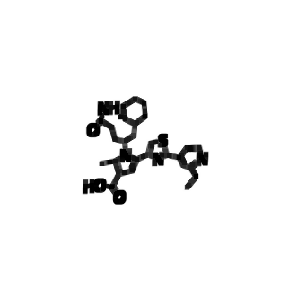 CCc1cc(-c2nc(-c3cc(C(=O)O)c(C)n3C(CCC(N)=O)CC3CCCCC3)cs2)ccn1